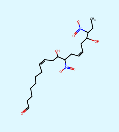 CCC(C(O)C/C=C\CC(C(O)C/C=C\CCCCCC[C]=O)[N+](=O)[O-])[N+](=O)[O-]